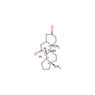 C[C@@]12CCC[C@H]1[C@@H]1C(=O)CC3CC(=O)CC[C@]3(C)[C@@H]1CC2